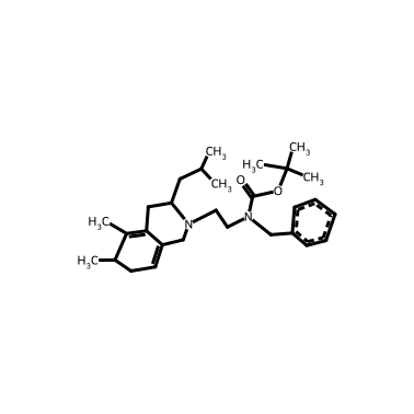 CC1=C2CC(CC(C)C)N(CCN(Cc3ccccc3)C(=O)OC(C)(C)C)CC2=CCC1C